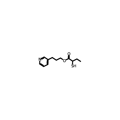 CCC(S)C(=O)OCCCc1cccnc1